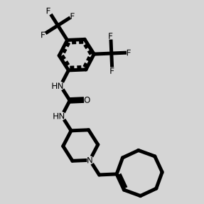 O=C(Nc1cc(C(F)(F)F)cc(C(F)(F)F)c1)NC1CCN(CC2=CCCCCCC2)CC1